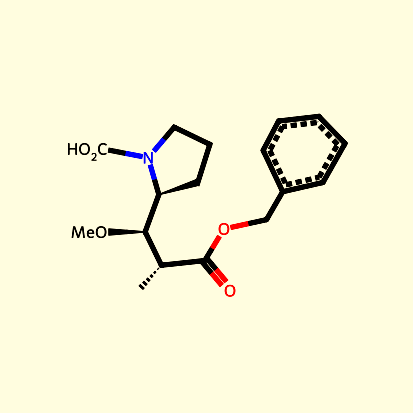 CO[C@H]([C@@H](C)C(=O)OCc1ccccc1)[C@@H]1CCCN1C(=O)O